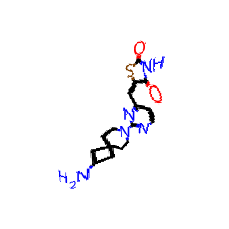 NC1CC2(CCN(c3nccc(/C=C4/SC(=O)NC4=O)n3)CC2)C1